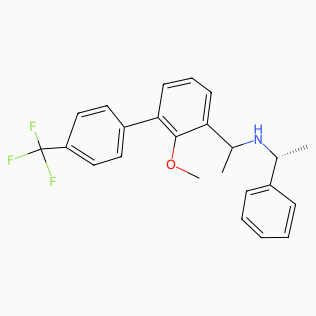 COc1c(-c2ccc(C(F)(F)F)cc2)cccc1C(C)N[C@H](C)c1ccccc1